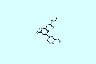 CCOC(=O)Cc1nc(N2CCOC(CF)C2)cc(=O)[nH]1